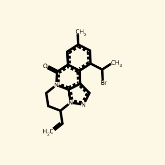 C=CC1CCn2c(=O)c3cc(C)cc(C(C)Br)c3c3cnn1c32